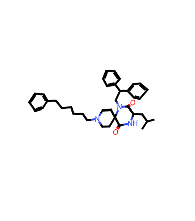 CC(C)CC1NC(=O)C2(CCN(CCCCCCc3ccccc3)CC2)N(CC(c2ccccc2)c2ccccc2)C1=O